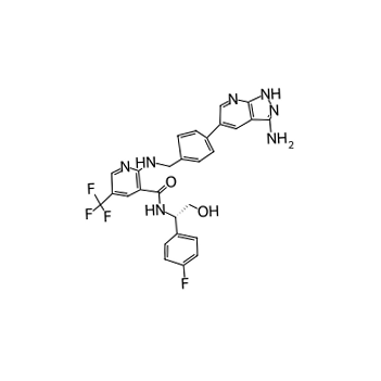 Nc1n[nH]c2ncc(-c3ccc(CNc4ncc(C(F)(F)F)cc4C(=O)N[C@H](CO)c4ccc(F)cc4)cc3)cc12